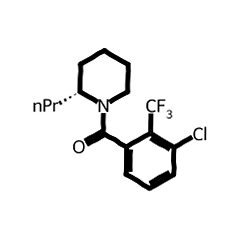 CCC[C@@H]1CCCCN1C(=O)c1cccc(Cl)c1C(F)(F)F